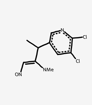 CN/C(=C\N=O)C(C)c1cnc(Cl)c(Cl)c1